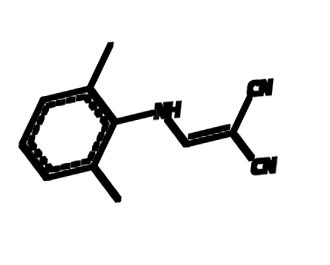 Cc1cccc(C)c1NC=C(C#N)C#N